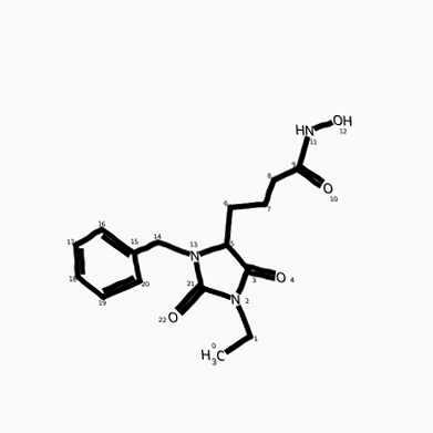 CCN1C(=O)C(CCCC(=O)NO)N(Cc2ccccc2)C1=O